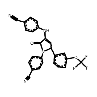 N#Cc1ccc(NC2=CC(c3cccc(OC(F)(F)F)c3)N(c3ccc(C#N)cc3)C2=O)cc1